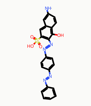 [NH]c1ccc2c(O)c(N=Nc3ccc(N=Nc4ccccc4)cc3)c(S(=O)(=O)O)cc2c1